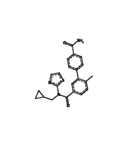 Cc1ccc(C(=O)N(CC2CC2)c2nccs2)cc1-c1ccc(C(N)=O)cc1